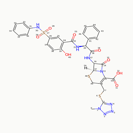 Cn1nnnc1SCC1=C(C(=O)O)N2C(=O)C(NC(=O)[C@@H](NC(=O)c3cc(S(=O)(=O)Nc4ccccc4)ccc3O)c3ccccc3)[C@@H]2SC1